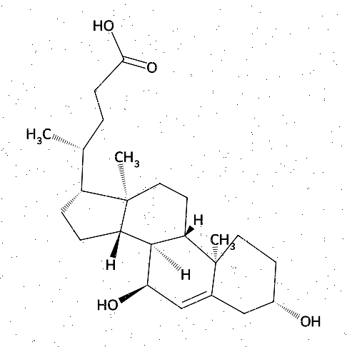 C[C@H](CCC(=O)O)[C@H]1CC[C@H]2[C@@H]3[C@H](O)C=C4C[C@@H](O)CC[C@]4(C)[C@H]3CC[C@]12C